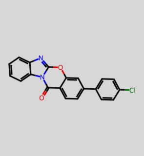 O=c1c2ccc(-c3ccc(Cl)cc3)cc2oc2nc3ccccc3n12